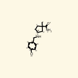 CC1(C(N)=O)CC[C@@H](NCc2ccc(Cl)cc2)C1